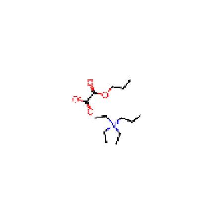 CCCOC(=O)C(=O)[O-].CCC[N+](CC)(CC)CC